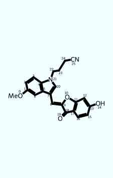 COc1ccc2c(c1)c(/C=C1\Oc3cc(O)ccc3C1=O)cn2CCCC#N